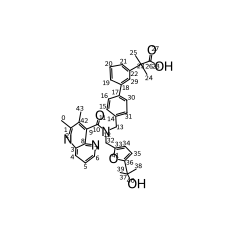 Cc1nc2cccnc2c(C(=O)N(Cc2ccc(-c3cccc(C(C)(C)C(=O)O)c3)cc2)Cc2ccc(C(C)(C)O)o2)c1C